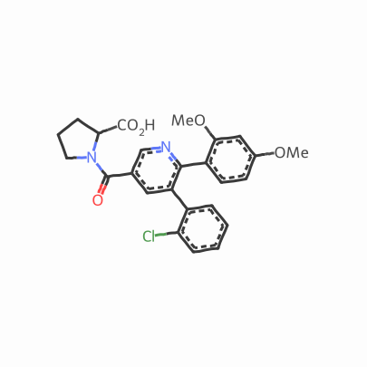 COc1ccc(-c2ncc(C(=O)N3CCCC3C(=O)O)cc2-c2ccccc2Cl)c(OC)c1